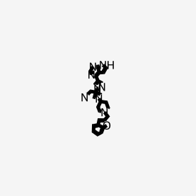 N#CCC1(n2cc(-c3ncnc4[nH]ccc34)cn2)CN(C2CCN(Cc3cc4ccccc4o3)CC2)C1